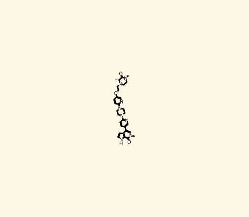 C[C@@H]1C(=O)N(C)CCN1CCOc1ccc(N2CCN(c3ccc(-c4cn(C)c(=O)c5[nH]ccc45)cn3)CC2)nc1